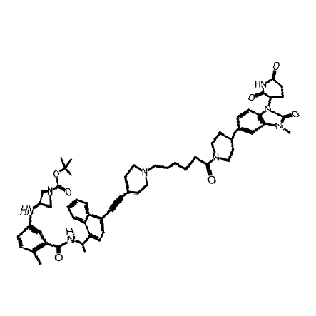 Cc1ccc(NC2CN(C(=O)OC(C)(C)C)C2)cc1C(=O)NC(C)c1ccc(C#CC2CCN(CCCCCC(=O)N3CCC(c4ccc5c(c4)n(C)c(=O)n5C4CCC(=O)NC4=O)CC3)CC2)c2ccccc12